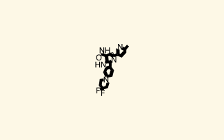 Cc1ccc(-c2cc(C(N)=O)c3[nH]c4cc(N5CCC(F)(F)CC5)ccc4c3n2)cn1